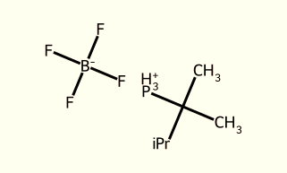 CC(C)C(C)(C)[PH3+].F[B-](F)(F)F